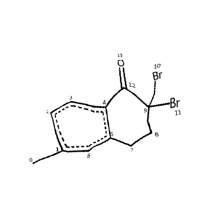 Cc1ccc2c(c1)CCC(Br)(Br)C2=O